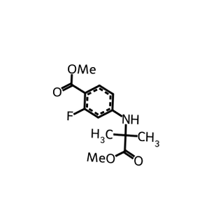 COC(=O)c1ccc(NC(C)(C)C(=O)OC)cc1F